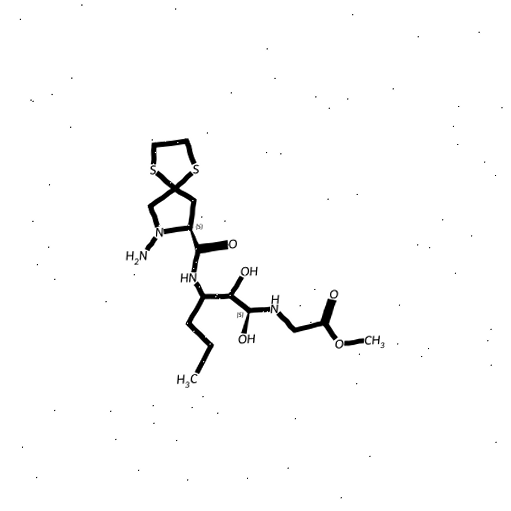 CCCC(NC(=O)[C@@H]1CC2(CN1N)SCCS2)C(O)[C@H](O)NCC(=O)OC